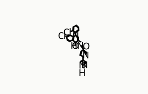 O=C(NCc1cn(-c2ccccc2Cl)c2cc(Cl)ccc2c1=O)c1ccc(-c2cn[nH]c2)nc1